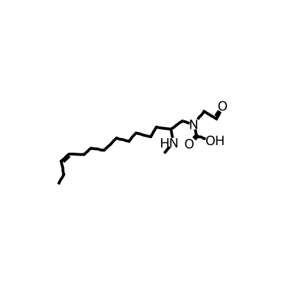 CC/C=C\CCCCCCCCC(CN(CC=O)C(=O)O)NC